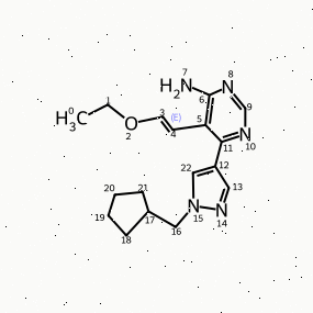 CCO/C=C/c1c(N)ncnc1-c1cnn(CC2CCCC2)c1